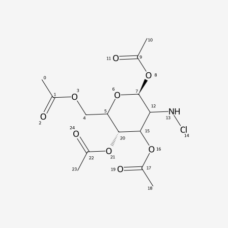 CC(=O)OCC1O[C@@H](OC(C)=O)C(NCl)C(OC(C)=O)[C@@H]1OC(C)=O